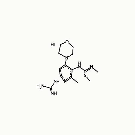 C/N=C(/Nc1c(C)cccc1N1CCOCC1)SC.I.N=C(N)S